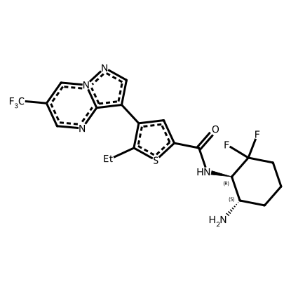 CCc1sc(C(=O)N[C@@H]2[C@@H](N)CCCC2(F)F)cc1-c1cnn2cc(C(F)(F)F)cnc12